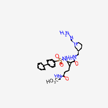 NN=CN1CCC[C@@H](CNC(=O)C2C(CCC(=O)NCC(=O)O)[C@@H]2NS(=O)(=O)c2ccc(-c3ccccc3)cc2)C1